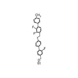 CCOCc1ccc(-c2ccc(CCc3ccc(-c4ccc(C)cc4)c(F)c3F)cc2)c(F)c1